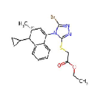 CCOC(=O)CSc1nnc(Br)n1C1=C[C@@H](C)C(C2CC2)c2ccccc21